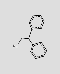 N#CCC(c1ccccc1)c1ccccc1